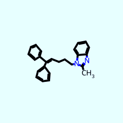 Cc1nc2ccccc2n1CCCC=C(c1ccccc1)c1ccccc1